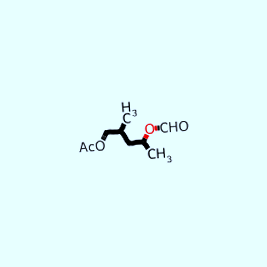 CC(=O)OCC(C)CC(C)OC=O